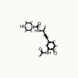 CC(=O)Nc1cc(C#CC(C)NC(=O)N2CCNCC2)ccc1Cl